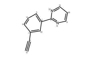 C#Cc1cccc(-c2ncccn2)c1